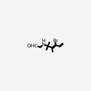 C=C/C(Br)=C(\C)C(C)(C)NCC=O